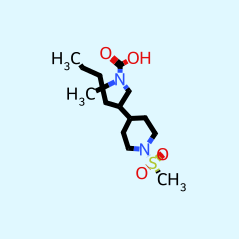 CCCC1(C)CC(C2CCN(S(C)(=O)=O)CC2)CN1C(=O)O